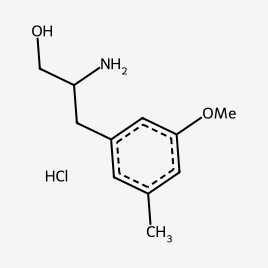 COc1cc(C)cc(CC(N)CO)c1.Cl